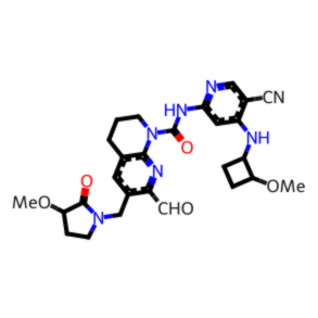 COC1CCN(Cc2cc3c(nc2C=O)N(C(=O)Nc2cc(NC4CCC4OC)c(C#N)cn2)CCC3)C1=O